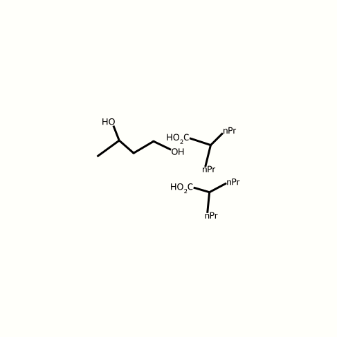 CC(O)CCO.CCCC(CCC)C(=O)O.CCCC(CCC)C(=O)O